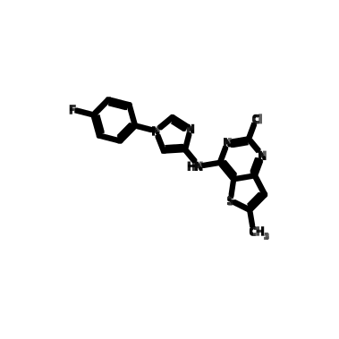 Cc1cc2nc(Cl)nc(Nc3cn(-c4ccc(F)cc4)cn3)c2s1